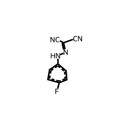 N#CC(C#N)=NNc1ccc(F)cc1